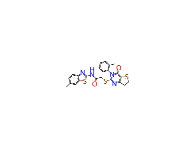 Cc1ccc2nc(NC(=O)CSc3nc4c(c(=O)n3-c3ccccc3C)SCC4)sc2c1